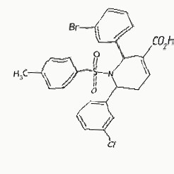 Cc1ccc(S(=O)(=O)N2C(c3cccc(Cl)c3)CC=C(C(=O)O)C2c2cccc(Br)c2)cc1